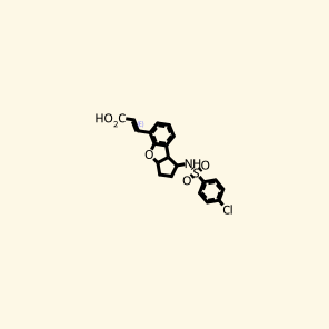 O=C(O)/C=C/c1cccc2c1OC1CCC(NS(=O)(=O)c3ccc(Cl)cc3)C21